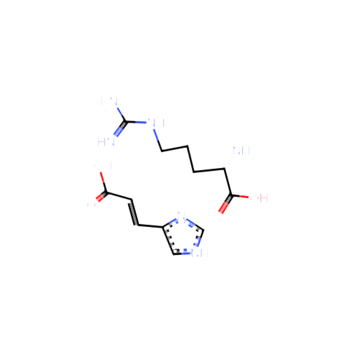 N=C(N)NCCC[C@H](N)C(=O)O.O=C(O)C=Cc1c[nH]cn1